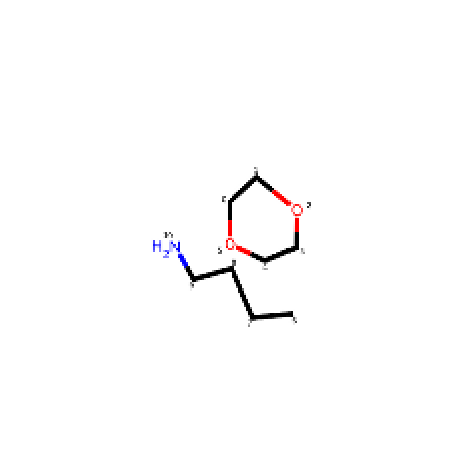 C1COCCO1.CCCCN